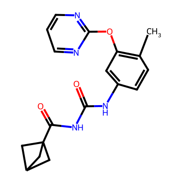 Cc1ccc(NC(=O)NC(=O)C23CC(C2)C3)cc1Oc1ncccn1